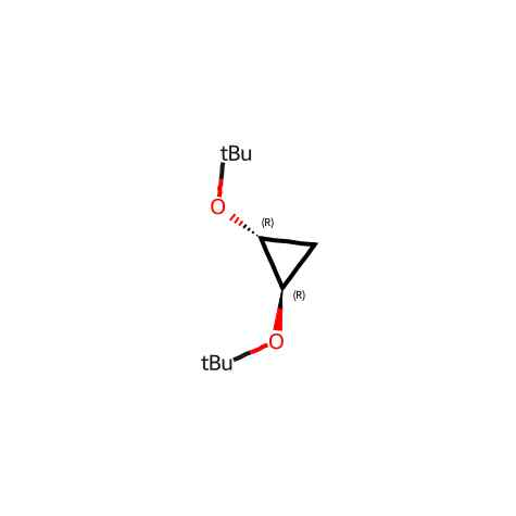 CC(C)(C)O[C@@H]1C[C@H]1OC(C)(C)C